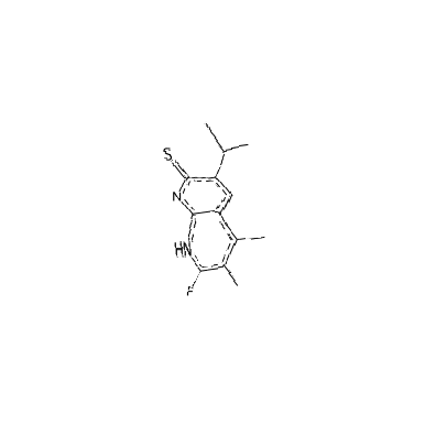 Cc1c2cc(C(C)C)c(=S)nc-2[nH]c(F)c1C